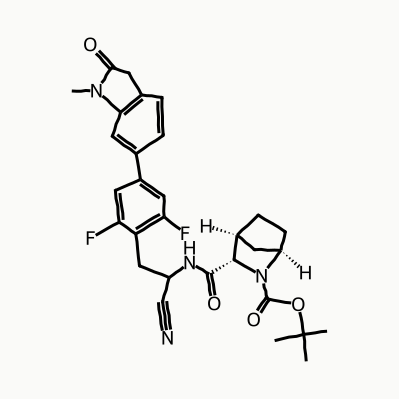 CN1C(=O)Cc2ccc(-c3cc(F)c(CC(C#N)NC(=O)[C@@H]4[C@H]5CC[C@H](C5)N4C(=O)OC(C)(C)C)c(F)c3)cc21